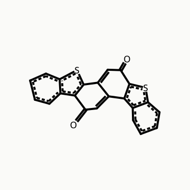 O=C1C=C2C(=CC(=O)c3c2sc2ccccc32)c2c1sc1ccccc21